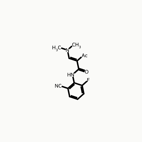 CC(=O)C(=CN(C)C)C(=O)Nc1c(F)cccc1C#N